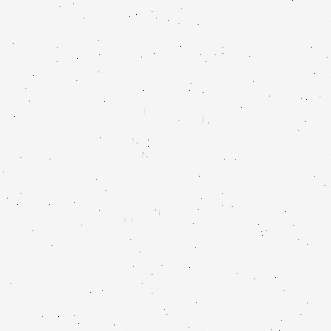 CC(C)c1ccc(-n2nc(C(F)(F)F)cc2-c2ccccc2S(C)(=O)=O)cc1N